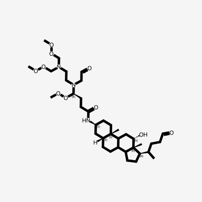 COOCN(CCN(CC=O)[C@@H](CCC(=O)N[C@H]1CC[C@]2(C)C3C[C@H](O)[C@@]4(C)C(CC[C@@H]4C(C)CCC=O)C3CC[C@@H]2C1)OOC)COOC